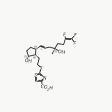 C[C@@](O)(C/C=C/[C@@H]1CC[C@H](O)[C@@H]1CCSc1nc(C(=O)O)cs1)CCC(F)=C(F)F